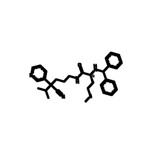 CSCC[C@H](NC(c1ccccc1)c1ccccc1)C(=O)NCCCC(C#N)(c1cccnc1)C(C)C